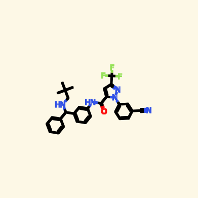 CC(C)(C)CNC(c1ccccc1)c1cccc(NC(=O)c2cc(C(F)(F)F)nn2-c2cccc(C#N)c2)c1